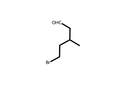 CC(CC=O)CCBr